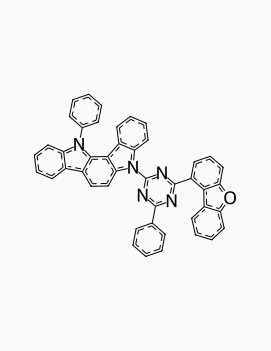 c1ccc(-c2nc(-c3cccc4oc5ccccc5c34)nc(-n3c4ccccc4c4c3ccc3c5ccccc5n(-c5ccccc5)c34)n2)cc1